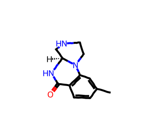 Cc1ccc2c(c1)N1CCNC[C@@H]1NC2=O